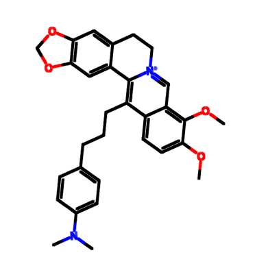 COc1ccc2c(CCCc3ccc(N(C)C)cc3)c3[n+](cc2c1OC)CCc1cc2c(cc1-3)OCO2